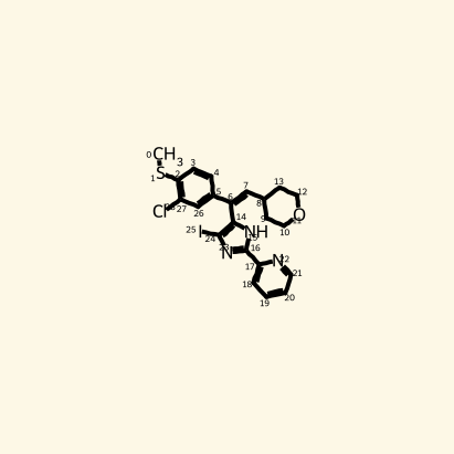 CSc1ccc(/C(=C/C2CCOCC2)c2[nH]c(-c3ccccn3)nc2I)cc1Cl